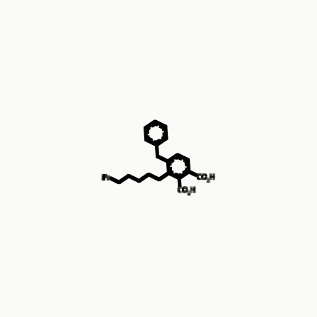 CC(C)CCCCCc1c(Cc2ccccc2)ccc(C(=O)O)c1C(=O)O